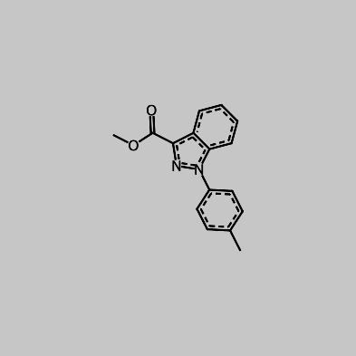 COC(=O)c1nn(-c2ccc(C)cc2)c2ccccc12